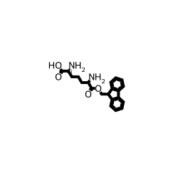 NC(CCC[C@H](N)C(=O)O)C(=O)OCC1c2ccccc2-c2ccccc21